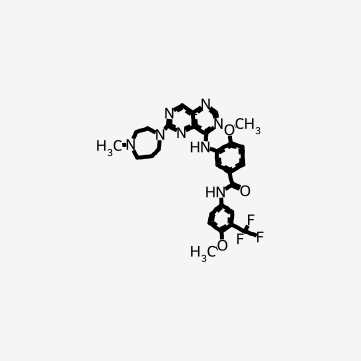 COc1ccc(C(=O)Nc2ccc(OC)c(C(F)(F)F)c2)cc1Nc1ncnc2cnc(N3CCCN(C)CC3)nc12